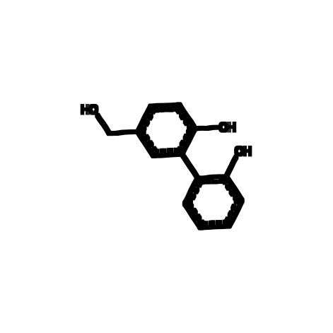 OCc1ccc(O)c(-c2ccccc2O)c1